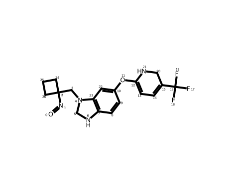 O=NC1(CN2CNc3ccc(OC4=CC=C(C(F)(F)F)CN4)cc32)CCC1